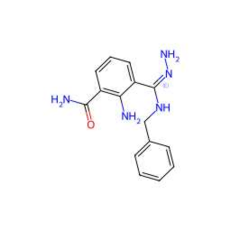 N/N=C(/NCc1ccccc1)c1cccc(C(N)=O)c1N